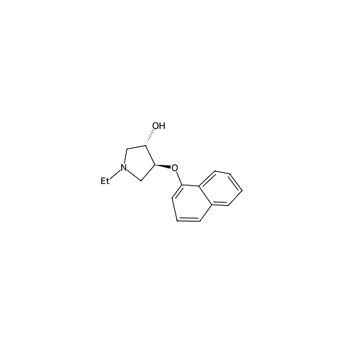 CCN1C[C@H](Oc2cccc3ccccc23)[C@@H](O)C1